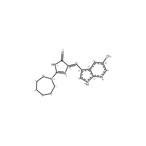 O=C1NC(N2CCCCCC2)=N/C1=C\c1c[nH]c2ncc(Cl)cc12